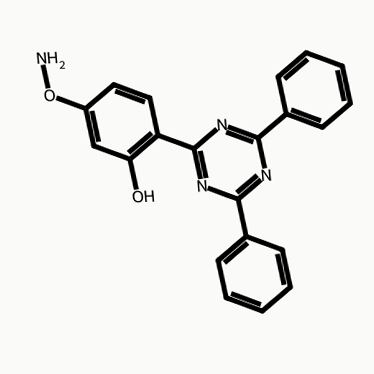 NOc1ccc(-c2nc(-c3ccccc3)nc(-c3ccccc3)n2)c(O)c1